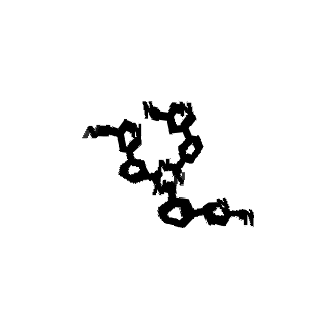 N#Cc1cncc(-c2cccc(-c3nc(-c4cccc(-c5ccc(C#N)nc5)c4)nc(-c4cccc(-c5cncc(C#N)c5)c4)n3)c2)c1